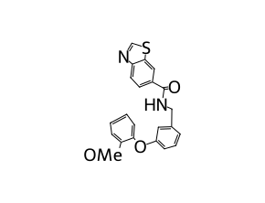 COc1ccccc1Oc1cccc(CNC(=O)c2ccc3ncsc3c2)c1